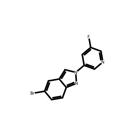 Fc1cncc(-n2cc3cc(Br)ccc3n2)c1